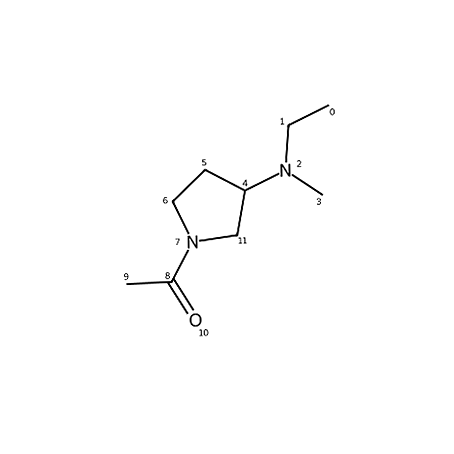 CCN(C)C1CCN(C(C)=O)C1